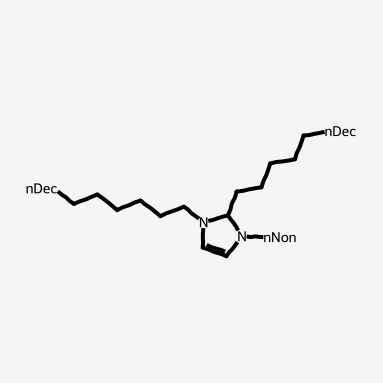 CCCCCCCCCCCCCCCCN1C=CN(CCCCCCCCC)C1CCCCCCCCCCCCCCC